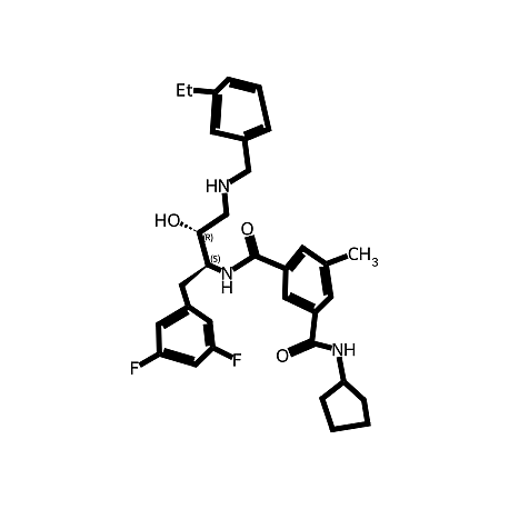 CCc1cccc(CNC[C@@H](O)[C@H](Cc2cc(F)cc(F)c2)NC(=O)c2cc(C)cc(C(=O)NC3CCCC3)c2)c1